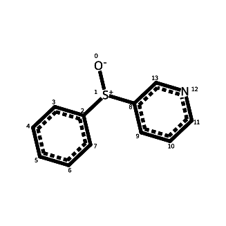 [O-][S+](c1ccccc1)c1cccnc1